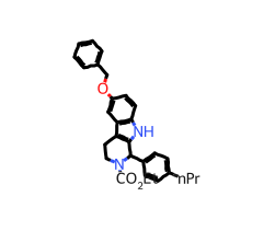 CCCc1ccc(C2c3[nH]c4ccc(OCc5ccccc5)cc4c3CCN2C(=O)OCC)cc1